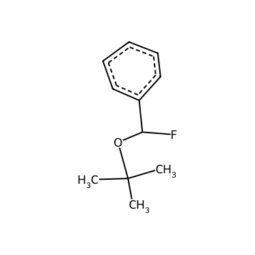 CC(C)(C)OC(F)c1ccccc1